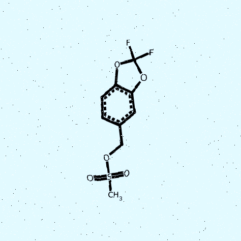 CS(=O)(=O)OCc1ccc2c(c1)OC(F)(F)O2